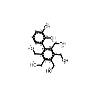 OCc1c(CO)c(CO)c(-c2cccc(O)c2O)c(CO)c1CO